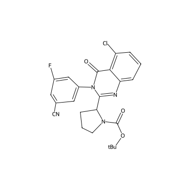 CC(C)(C)OC(=O)N1CCCC1c1nc2cccc(Cl)c2c(=O)n1-c1cc(F)cc(C#N)c1